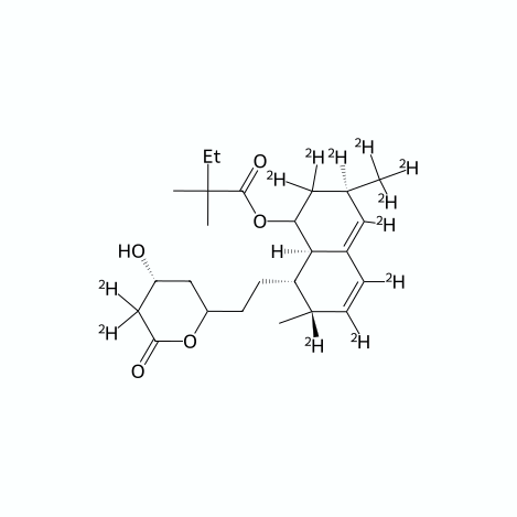 [2H]C1=C([2H])[C@]([2H])(C)[C@H](CCC2C[C@@H](O)C([2H])([2H])C(=O)O2)[C@@H]2C1=C([2H])[C@]([2H])(C([2H])([2H])[2H])C([2H])([2H])C2OC(=O)C(C)(C)CC